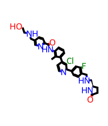 Cc1c(NC(=O)c2ccc(CNCCO)cn2)cccc1-c1ccnc(-c2ccc(CNC[C@H]3CCC(=O)N3)c(F)c2)c1Cl